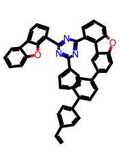 C=Cc1ccc(-c2ccc(-c3ccc4oc5cccc(-c6nc(-c7ccccc7)nc(-c7cccc8c7oc7ccccc78)n6)c5c4c3)cc2)cc1